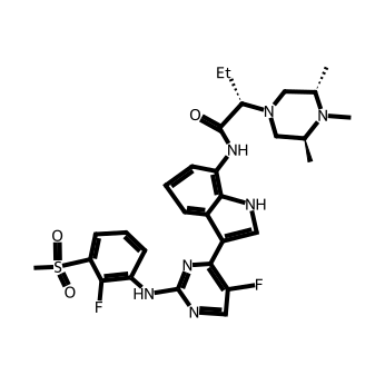 CC[C@@H](C(=O)Nc1cccc2c(-c3nc(Nc4cccc(S(C)(=O)=O)c4F)ncc3F)c[nH]c12)N1C[C@H](C)N(C)[C@@H](C)C1